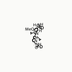 COc1cc(C(=O)N2[C@H]3CC[C@@H]2[C@H](N)C3)cc2nc(-c3cc4ccc([C@@H](C)NC(=O)N5CCCC5)nc4n3CC3CC3)c(C3CC3)n12